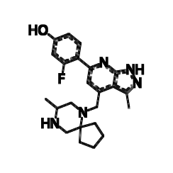 Cc1n[nH]c2nc(-c3ccc(O)cc3F)cc(CN3CC(C)NCC34CCCC4)c12